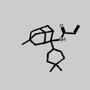 C=CC(=O)NC1(C2CCC(C)(C)CC2)C2CC3CC1CC(C)(C3)C2